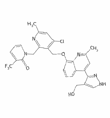 Cc1cc(Cl)c(COc2cccc3c(-c4n[nH]cc4CO)cc(C)nc23)c(Cn2cccc(C(F)(F)F)c2=O)n1